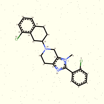 Cn1c(-c2ccccc2Cl)nc2c1CN(C1CCc3cccc(Cl)c3C1)CC2